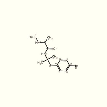 CC(NC(=O)O)C(=O)NC(C)(C)Cc1ccc(Br)cc1